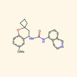 COc1ccc2c(c1)C(NC(=O)Nc1cccc3cnccc13)CC1(CCC1)O2